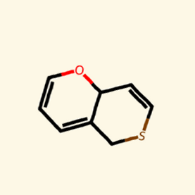 C1=COC2C=CSCC2=C1